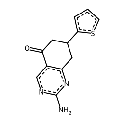 Nc1ncc2c(n1)CC(c1cccs1)CC2=O